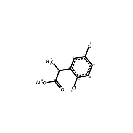 COC(=O)C(C)c1cc(Cl)ccc1Cl